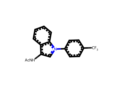 CC(=O)Nc1cn(-c2ccc(C(F)(F)F)cc2)c2ccccc12